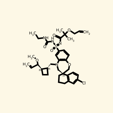 C=CCOC(C)(C)C(=O)N=S(=O)(NC(=O)NCC)c1ccc2c(c1)N(C[C@@H]1CC[C@H]1C(C=C)OC)C[C@@]1(CCCc3cc(Cl)ccc31)CO2